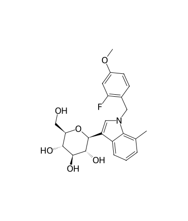 COc1ccc(Cn2cc([C@@H]3O[C@H](CO)[C@@H](O)[C@H](O)[C@H]3O)c3cccc(C)c32)c(F)c1